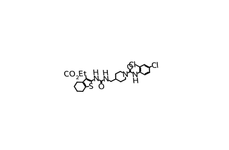 CCOC(=O)c1c(NC(=O)NCC2CCN(C(=O)Nc3ccc(Cl)cc3Cl)CC2)sc2c1CCCC2